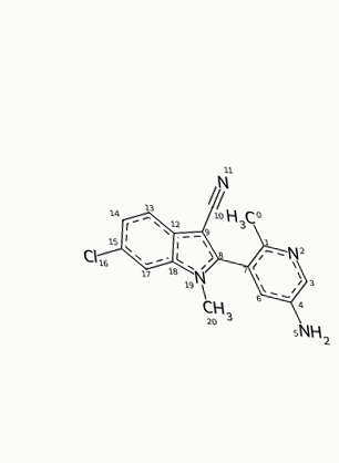 Cc1ncc(N)cc1-c1c(C#N)c2ccc(Cl)cc2n1C